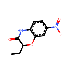 CCC1Oc2cc([N+](=O)[O-])ccc2NC1=O